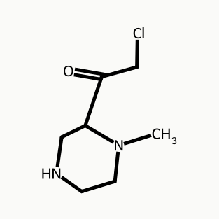 CN1CCNCC1C(=O)CCl